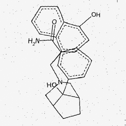 NC(=O)c1cccc(C2(O)C3CCC2CN(Cc2ccc(O)c4ccccc24)C3)c1